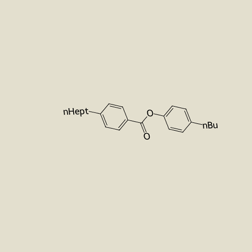 CCCCCCCc1ccc(C(=O)Oc2ccc(CCCC)cc2)cc1